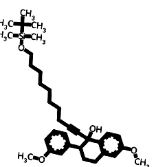 COc1cccc(C2CCc3cc(OC)ccc3C2(O)C#CCCCCCCCCO[Si](C)(C)C(C)(C)C)c1